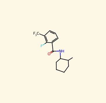 CC1CCCCC1NC(=O)c1cccc(C(F)(F)F)c1F